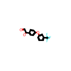 O=CC(=O)c1ccc(Oc2cccc(C(F)(F)F)c2)cc1